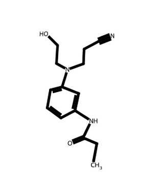 CCC(=O)Nc1cccc(N(CCO)CCC#N)c1